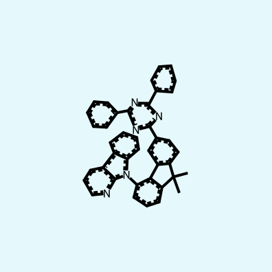 CC1(C)c2ccc(-c3nc(-c4ccccc4)nc(-c4ccccc4)n3)cc2-c2c(-n3c4ccccc4c4cccnc43)cccc21